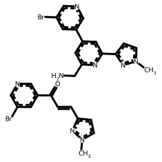 Cn1ccc(-c2cc(-c3cncc(Br)c3)cc(CN)n2)n1.Cn1ccc(/C=C/C(=O)c2cncc(Br)c2)n1